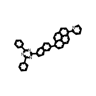 c1ccc(-c2nc(-c3ccccc3)nc(-c3ccc4cc(-c5ccc6ccc7c(-c8ccccn8)ccc8ccc5c6c87)ccc4c3)n2)cc1